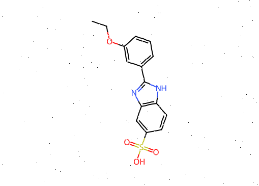 CCOc1cccc(-c2nc3cc(S(=O)(=O)O)ccc3[nH]2)c1